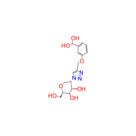 OC[C@H]1OC[C@H](n2cc(COc3cccc(C(O)O)c3)nn2)[C@@H](O)[C@H]1O